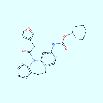 O=C(Nc1ccc2c(c1)N(C(=O)Cc1ccoc1)c1ccccc1CC2)OC1CCCCC1